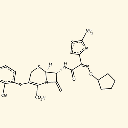 N#Cc1ccccc1SC1=C(C(=O)O)N2C(=O)[C@@H](NC(=O)/C(=N\OC3CCCC3)c3csc(N)n3)[C@@H]2SC1